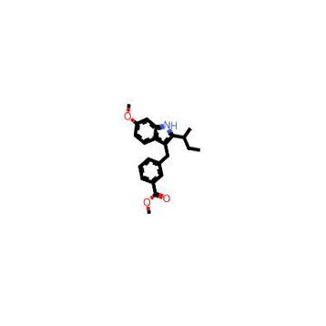 CCC(C)c1[nH]c2cc(OC)ccc2c1Cc1cccc(C(=O)OC)c1